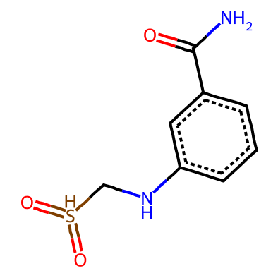 NC(=O)c1cccc(NC[SH](=O)=O)c1